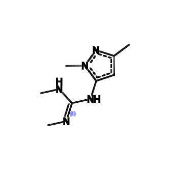 C/N=C(\NC)Nc1cc(C)nn1C